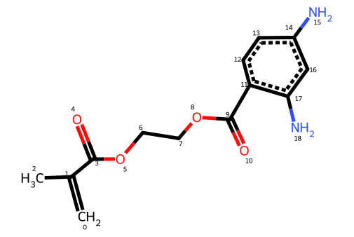 C=C(C)C(=O)OCCOC(=O)c1ccc(N)cc1N